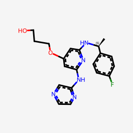 C[C@H](Nc1cc(OCCCO)cc(Nc2cnccn2)n1)c1ccc(F)cc1